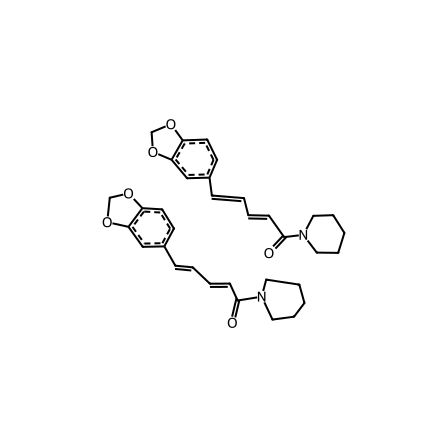 O=C(/C=C/C=C/c1ccc2c(c1)OCO2)N1CCCCC1.O=C(/C=C/C=C/c1ccc2c(c1)OCO2)N1CCCCC1